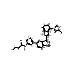 CCCC(=O)Nc1cncc(-c2ccc3[nH]nc(-c4cc5c(-n6cnc(C)c6)cccc5[nH]4)c3c2)c1